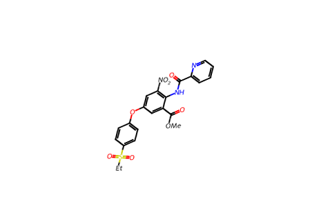 CCS(=O)(=O)c1ccc(Oc2cc(C(=O)OC)c(NC(=O)c3ccccn3)c([N+](=O)[O-])c2)cc1